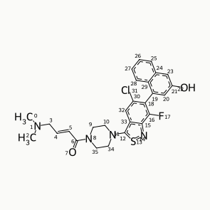 CN(C)C/C=C/C(=O)N1CCN(c2snc3c(F)c(-c4cc(O)cc5ccccc45)c(Cl)cc23)CC1